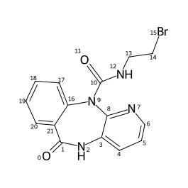 O=C1Nc2cccnc2N(C(=O)NCCBr)c2ccccc21